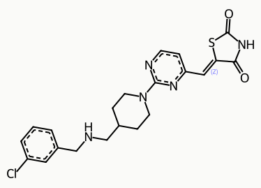 O=C1NC(=O)/C(=C/c2ccnc(N3CCC(CNCc4cccc(Cl)c4)CC3)n2)S1